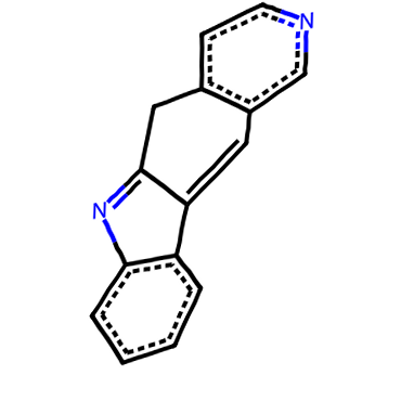 C1=C2C(=Nc3ccccc32)Cc2ccncc21